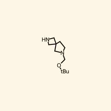 CC(C)(C)OCN1CCC2(CNC2)C1